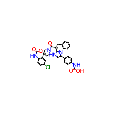 O=C(O)Nc1ccc(-c2c[nH]c([C@H](Cc3ccccc3)C(=O)N3CC[C@]4(C3)OC(=O)Nc3ccc(Cl)cc34)n2)cc1